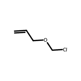 C=CCOCCl